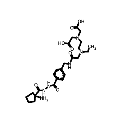 CCN(CCN(CC(=O)O)CC(=O)O)CC(=O)NCc1ccc(C(=O)NNC(=O)C2(N)CCCC2)cc1